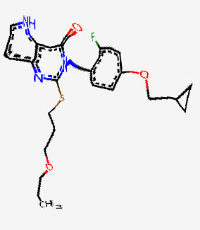 CCOCCCSc1nc2cc[nH]c2c(=O)n1-c1ccc(OCC2CC2)cc1F